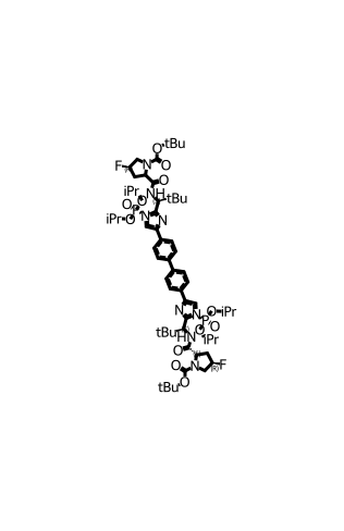 CC(C)OP(=O)(OC(C)C)n1cc(-c2ccc(-c3ccc(-c4cn(P(=O)(OC(C)C)OC(C)C)c([C@@H](NC(=O)[C@@H]5C[C@@H](F)CN5C(=O)OC(C)(C)C)C(C)(C)C)n4)cc3)cc2)nc1[C@@H](NC(=O)C1C[C@@H](F)CN1C(=O)OC(C)(C)C)C(C)(C)C